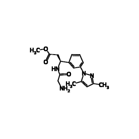 COC(=O)C[C@H](NC(=O)CN)c1cccc(-n2nc(C)cc2C)c1